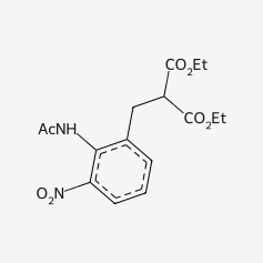 CCOC(=O)C(Cc1cccc([N+](=O)[O-])c1NC(C)=O)C(=O)OCC